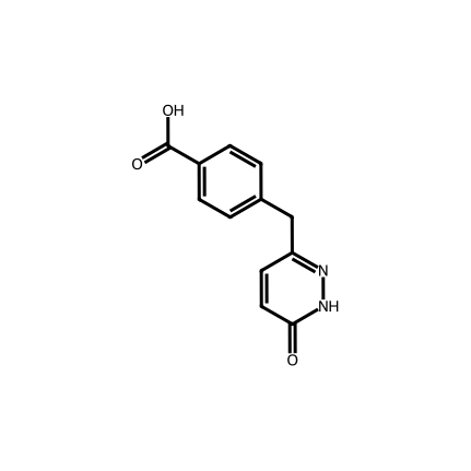 O=C(O)c1ccc(Cc2ccc(=O)[nH]n2)cc1